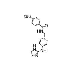 CC(C)(C)c1ccc(C(=O)NCc2ccc(NC3=NCCN3)cc2)cc1